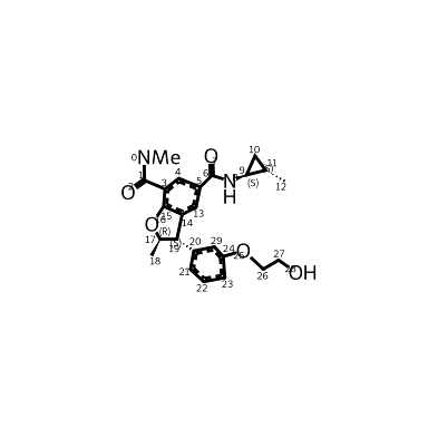 CNC(=O)c1cc(C(=O)N[C@H]2C[C@@H]2C)cc2c1O[C@H](C)[C@H]2c1cccc(OCCO)c1